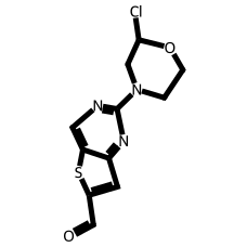 O=Cc1cc2nc(N3CCOC(Cl)C3)ncc2s1